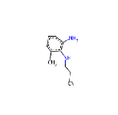 Cc1cccc(N)c1NCCC#N